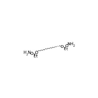 CCC(c1ccc(N)cc1)c1ccc(CCCCCCCCCCCCCCCCCCCc2ccc(C(CC)c3ccc(N)cc3)cc2)cc1